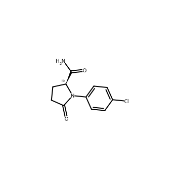 NC(=O)[C@@H]1CCC(=O)N1c1ccc(Cl)cc1